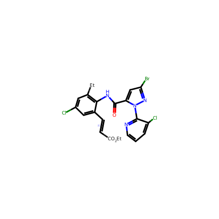 CCOC(=O)/C=C/c1cc(Cl)cc(CC)c1NC(=O)c1cc(Br)nn1-c1ncccc1Cl